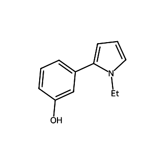 CCn1cccc1-c1cccc(O)c1